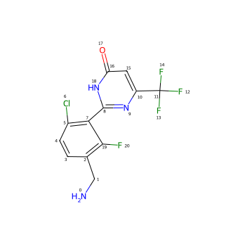 NCc1ccc(Cl)c(-c2nc(C(F)(F)F)cc(=O)[nH]2)c1F